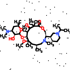 CO[C@]1(C)C[C@@H](C)CN(C)[C@@H]([C@H]2CCCN(C(C)C)C2)COC(=O)C(C)(C)C(=O)[C@H](C)[C@H]1O[C@@H]1O[C@H](C)C[C@H](N(C)C)[C@H]1O